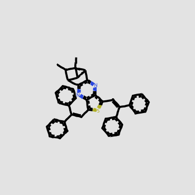 CC1C2c3nc4c(C=C(c5ccccc5)c5ccccc5)sc(C=C(c5ccccc5)c5ccccc5)c4nc3C3C2C13C